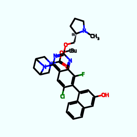 CN1CCC[C@H]1COc1nc(N2C3CC2CN(C(=O)OC(C)(C)C)C3)c2cc(Cl)c(-c3cc(O)cc4ccccc34)c(F)c2n1